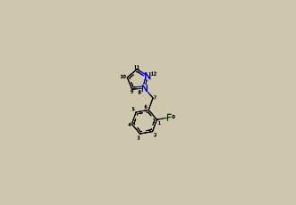 Fc1ccccc1Cn1cccn1